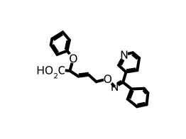 O=C(O)C(C=CCON=C(c1ccccc1)c1cccnc1)Oc1ccccc1